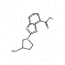 COC1CCN(c2nc3c(C(N)=O)[c]ccc3s2)C1